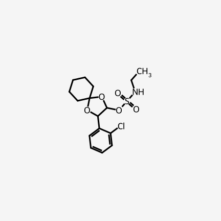 CCNS(=O)(=O)OC1OC2(CCCCC2)OC1c1ccccc1Cl